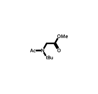 COC(=O)CN(C(C)=O)C(C)(C)C